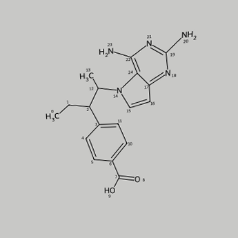 CCC(c1ccc(C(=O)O)cc1)C(C)n1ccc2nc(N)nc(N)c21